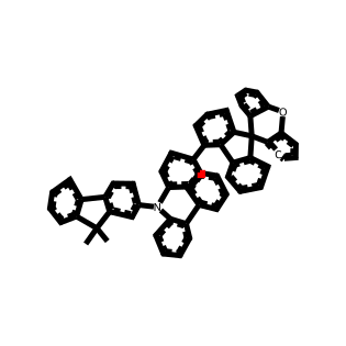 CC1(C)c2ccccc2-c2ccc(N(c3ccc(-c4cccc5c4-c4ccccc4C54c5ccccc5Oc5ccccc54)cc3)c3ccccc3-c3ccccc3)cc21